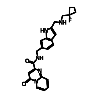 O=C(NCc1ccc2cc(CNCC3(F)CCC3)[nH]c2c1)c1cc(=O)n2ccccc2n1